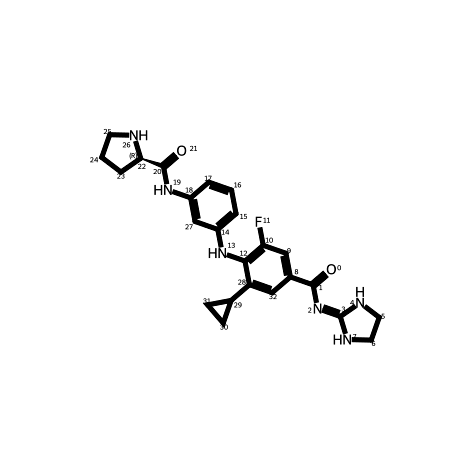 O=C(N=C1NCCN1)c1cc(F)c(Nc2cccc(NC(=O)[C@H]3CCCN3)c2)c(C2CC2)c1